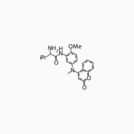 COc1ccc(N(C)c2cc(=O)oc3ccccc23)cc1NC(=O)C(N)C(C)C